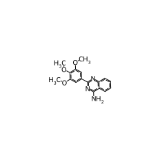 COc1cc(-c2nc(N)c3ccccc3n2)cc(OC)c1OC